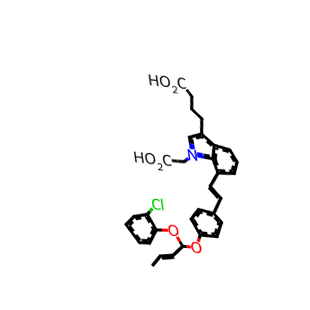 C/C=C/C(Oc1ccc(/C=C/c2cccc3c(CCCC(=O)O)cn(CC(=O)O)c23)cc1)Oc1ccccc1Cl